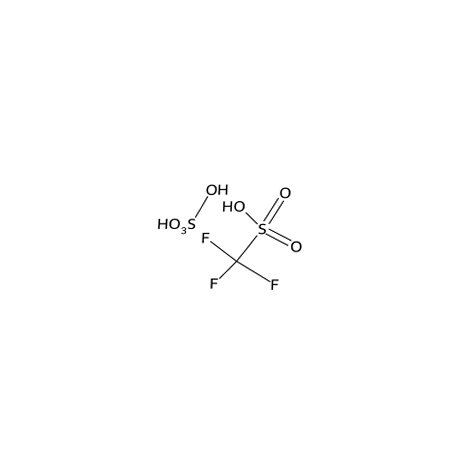 O=S(=O)(O)C(F)(F)F.O=S(=O)(O)O